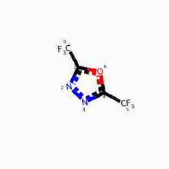 FC(F)(F)c1nnc(C(F)(F)F)o1